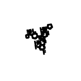 NC(=O)C1CCC(n2c(Nc3c(F)cc(F)cc3F)nc3cnc(NC4CCCC4)nc32)CC1